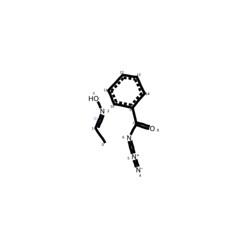 C/C=N/O.[N-]=[N+]=NC(=O)c1ccccc1